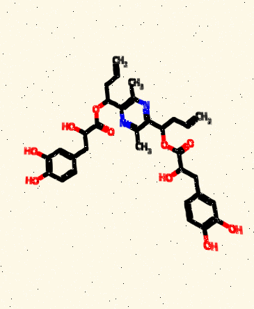 C=CCC(OC(=O)C(O)Cc1ccc(O)c(O)c1)c1nc(C)c(C(CC=C)OC(=O)C(O)Cc2ccc(O)c(O)c2)nc1C